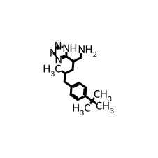 CC(Cc1ccc(C(C)(C)C)cc1)CC(CN)c1nnn[nH]1